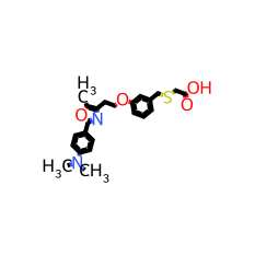 Cc1oc(-c2ccc(N(C)C)cc2)nc1CCOc1cccc(CSCC(=O)O)c1